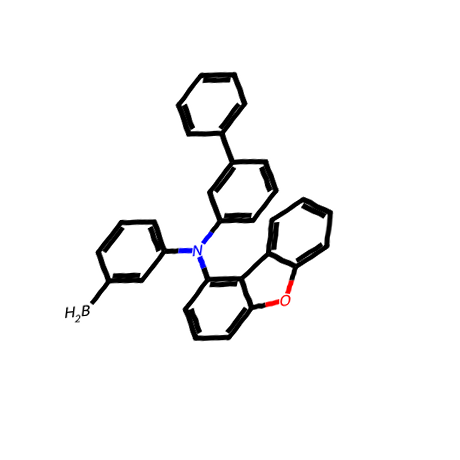 Bc1cccc(N(c2cccc(-c3ccccc3)c2)c2cccc3oc4ccccc4c23)c1